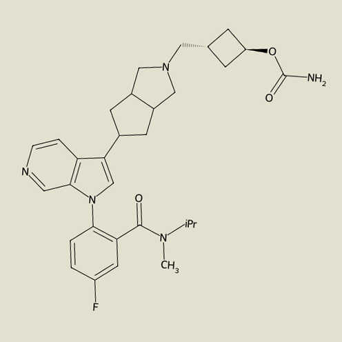 CC(C)N(C)C(=O)c1cc(F)ccc1-n1cc(C2CC3CN(C[C@H]4C[C@H](OC(N)=O)C4)CC3C2)c2ccncc21